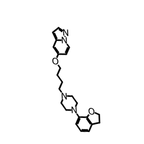 c1cc2c(c(N3CCN(CCCCOc4ccn5nccc5c4)CC3)c1)OCC2